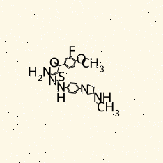 CCNC1CCN(c2ccc(Nc3nc(N)c(C(=O)c4ccc(OC)c(F)c4)s3)cc2)C1